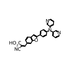 N#C/C(=C/c1ccc2cc(-c3ccc(N(c4cccnc4)c4cccnc4)cc3)oc2c1)C(=O)O